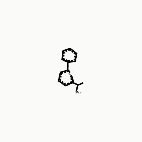 CSC(C)c1cccc(-c2ccccc2)n1